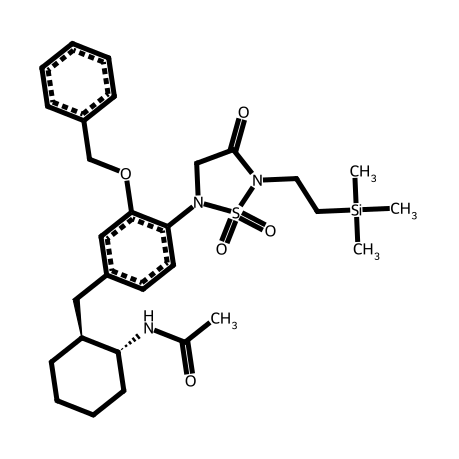 CC(=O)N[C@@H]1CCCC[C@H]1Cc1ccc(N2CC(=O)N(CC[Si](C)(C)C)S2(=O)=O)c(OCc2ccccc2)c1